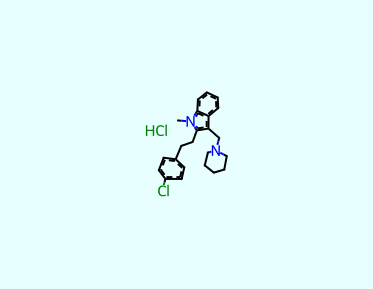 Cl.Cn1c(CCc2ccc(Cl)cc2)c(CN2CCCCC2)c2ccccc21